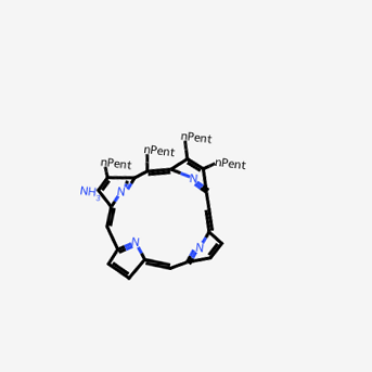 CCCCCC1=CC2=CC3=NC(=CC4=NC(=CC5=NC(=C(CCCCC)C1=N2)C(CCCCC)=C5CCCCC)C=C4)C=C3.N